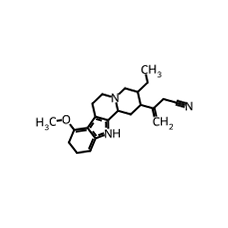 C=C(CC#N)C1CC2c3[nH]c4c(c3CCN2CC1CC)=C(OC)CCC=4